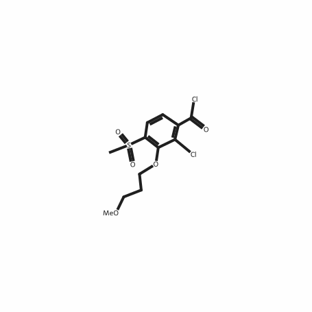 COCCCOc1c(S(C)(=O)=O)ccc(C(=O)Cl)c1Cl